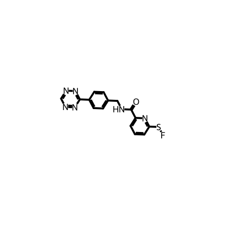 O=C(NCc1ccc(-c2nncnn2)cc1)c1cccc(SF)n1